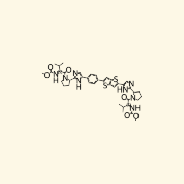 COC(=O)N[C@H](C(=O)N1CCCC1c1ncc(-c2ccc(-c3cc4sc(-c5cnc(C6CCCN6C(=O)[C@@H](NC(=O)OC)C(C)C)[nH]5)cc4s3)cc2)[nH]1)C(C)C